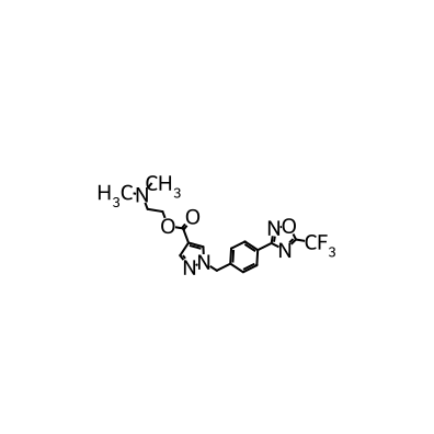 CN(C)CCOC(=O)c1cnn(Cc2ccc(-c3noc(C(F)(F)F)n3)cc2)c1